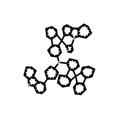 c1ccc2c(c1)-c1ccccc1C21c2ccccc2-c2c(N(c3ccc(-c4cccc5sc6ccccc6c45)cc3)c3ccc4c(c3)C3(c5ccccc5-4)c4ccccc4-n4c5ccccc5c5cccc3c54)cccc21